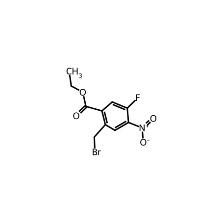 CCOC(=O)c1cc(F)c([N+](=O)[O-])cc1CBr